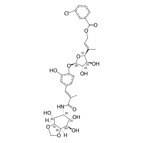 CC(=Cc1ccc(O[C@H]2O[C@@H](C(C)=CCOC(=O)c3cccc(Cl)c3)[C@@H](O)[C@@H]2O)c(O)c1)C(=O)N[C@@H]1[C@H](O)[C@@H](O)[C@H]2OCO[C@H]2[C@@H]1O